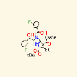 CCc1c(C(=O)OC(C)(C)C)[nH]c(CN(C[C@@H](O)c2cccc(F)c2)C[C@H](O)c2cccc(F)c2)c1C(=O)OC